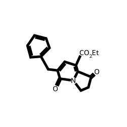 CCOC(=O)c1cc(Cc2ccccc2)c(=O)n2c1C(=O)CC2